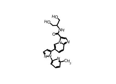 Cc1cccc(-n2nccc2-c2ccc3ncc(C(=O)NC(CO)CO)n3c2)n1